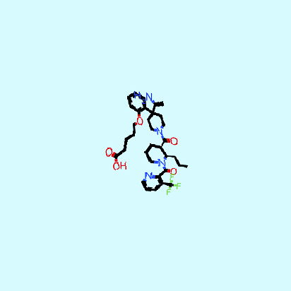 C=C(N)C1(c2ccccc2OCCCCC(=O)O)CCN(C(=O)[C@@H]2CCCN(C(=O)c3ncccc3C(F)(F)F)[C@@H]2CCC)CC1